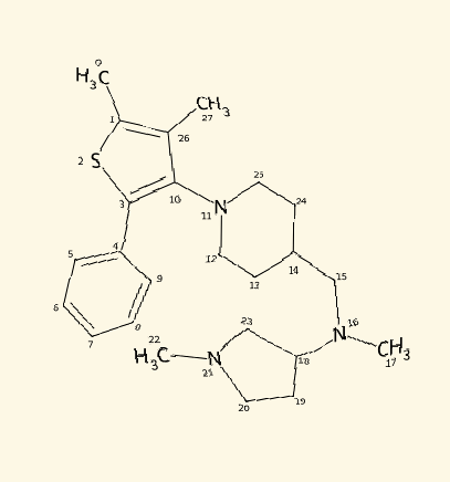 Cc1sc(-c2ccccc2)c(N2CCC(CN(C)C3CCN(C)C3)CC2)c1C